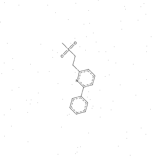 CS(=O)(=O)CCc1cccc(-c2ccccc2)n1